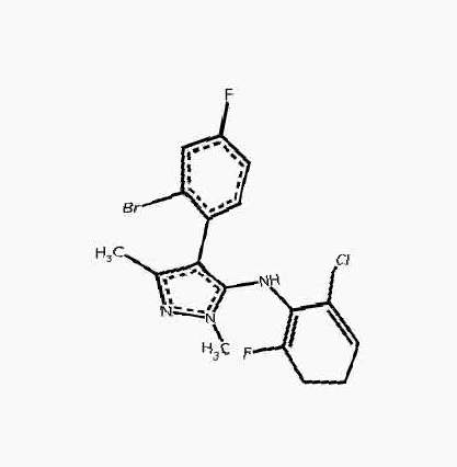 Cc1nn(C)c(NC2=C(F)CCC=C2Cl)c1-c1ccc(F)cc1Br